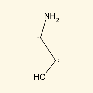 N[CH][C]O